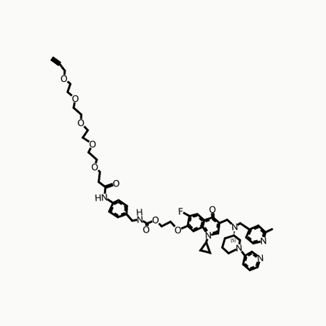 C#CCOCCOCCOCCOCCOCCC(=O)Nc1ccc(CNC(=O)OCCOc2cc3c(cc2F)c(=O)c(CN(Cc2ccnc(C)c2)[C@H]2CCCN(c4cccnc4)C2)cn3C2CC2)cc1